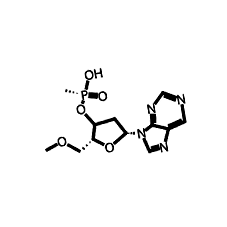 COC[C@H]1O[C@@H](n2cnc3cncnc32)CC1O[P@](C)(=O)O